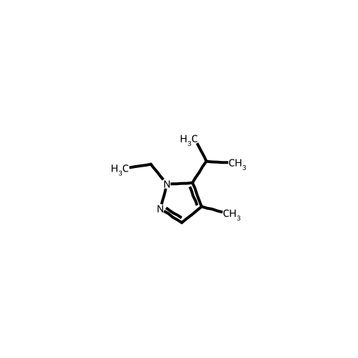 CCn1ncc(C)c1C(C)C